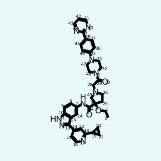 CCOC1(C(=O)Nc2ccc3[nH]nc(-c4ccnc(C5CC5)c4)c3c2)CCN(CC(=O)N2CCN(c3ccc(-c4ncccn4)cc3)CC2)C1